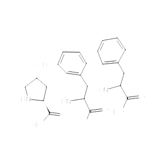 NC(Cc1ccccc1)C(=O)O.NC(Cc1ccccc1)C(=O)O.O=C(O)[C@@H]1C[C@@H](O)CN1